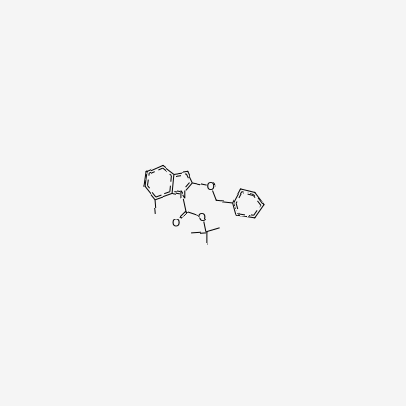 Cc1cccc2cc(OCc3ccccc3)n(C(=O)OC(C)(C)C)c12